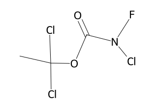 CC(Cl)(Cl)OC(=O)N(F)Cl